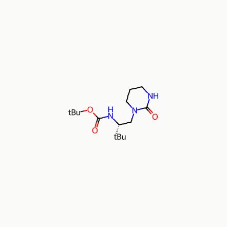 CC(C)(C)OC(=O)N[C@H](CN1CCCNC1=O)C(C)(C)C